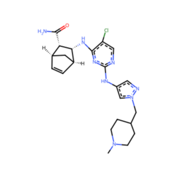 CN1CCC(Cn2cc(Nc3ncc(Cl)c(N[C@H]4[C@@H](C(N)=O)[C@@H]5C=C[C@H]4C5)n3)cn2)CC1